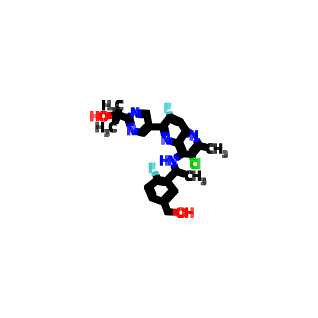 Cc1nc2cc(F)c(-c3cnc(C(C)(C)O)nc3)nc2c(NC(C)c2cc(CO)ccc2F)c1Cl